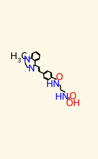 CN1CCN=C(C=Cc2ccc(C(=O)NCCCNC(=O)O)cc2)c2ccccc21